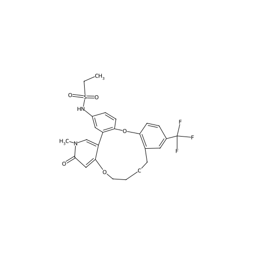 CCS(=O)(=O)Nc1ccc2c(c1)-c1cn(C)c(=O)cc1OCCCCc1cc(C(F)(F)F)ccc1O2